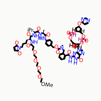 COCCOCCOCCOCCOCCC(=O)N[C@@H](CCCCN1C(=O)C=CC1=O)C(=O)N[C@H](C(=O)N[C@@H](C)C(=O)Nc1ccc(COC(=O)N(C)Cc2ccccc2C(=O)Nc2nc3c(ncn3[C@@H]3O[C@@H]4CO[PH](=O)O[C@H]5C[C@H](Oc6ccncn6)C[C@@H]5CO[PH](=O)O[C@@H]3[C@@H]4O)c(=O)[nH]2)cc1)C(C)C